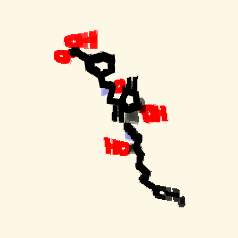 CCCCC[C@H](O)/C=C/[C@@H]1[C@H]2C/C(=C/c3cccc(C(=O)O)c3)O[C@H]2C[C@H]1O